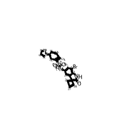 O=C1Nc2c(Br)cc(NS(=O)(=O)c3cccc(-n4cccn4)c3)cc2C12CCC2